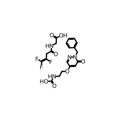 O=C(O)CNC(=O)CC(F)=C(F)F.O=C(O)NCCOc1cnn(Cc2ccccc2)c(=O)c1